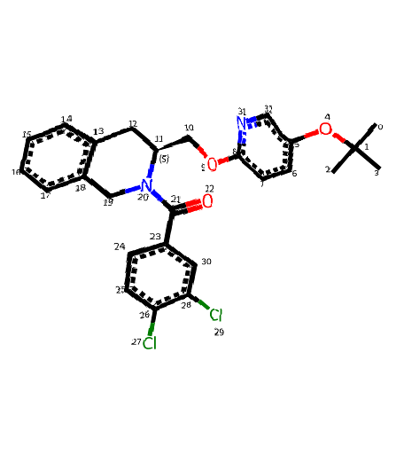 CC(C)(C)Oc1ccc(OC[C@@H]2Cc3ccccc3CN2C(=O)c2ccc(Cl)c(Cl)c2)nc1